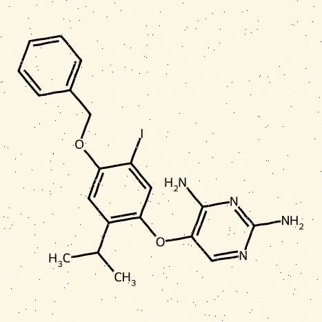 CC(C)c1cc(OCc2ccccc2)c(I)cc1Oc1cnc(N)nc1N